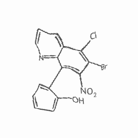 O=[N+]([O-])c1c(Br)c(Cl)c2cccnc2c1-c1ccccc1O